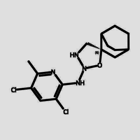 Cc1nc(NN2NC[C@]3(CC4CCC3CC4)O2)c(Cl)cc1Cl